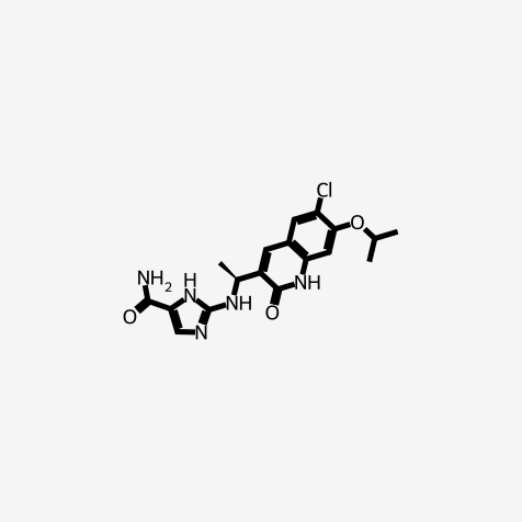 CC(C)Oc1cc2[nH]c(=O)c([C@H](C)Nc3ncc(C(N)=O)[nH]3)cc2cc1Cl